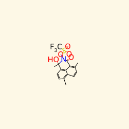 Cc1ccc2c(C)ccc3c2c1C(=O)N(OS(=O)(=O)C(F)(F)F)C3(C)O